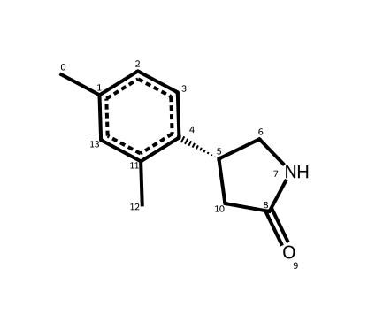 Cc1ccc([C@@H]2CNC(=O)C2)c(C)c1